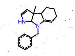 CC12C=CNC1N(Cc1ccccc1)C1=CCCCC12